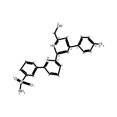 NS(=O)(=O)c1cccc(-c2cccc(-c3cc(-c4ccc(C(F)(F)F)cc4)cc(CO)n3)n2)c1